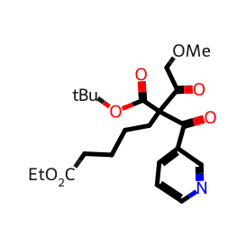 CCOC(=O)CCCCC(C(=O)COC)(C(=O)OC(C)(C)C)C(=O)c1cccnc1